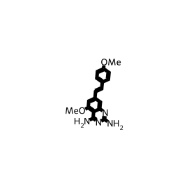 COc1ccc(C=Cc2cc(OC)c3c(N)nc(N)nc3c2)cc1